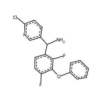 NC(c1ccc(Cl)nc1)c1ccc(F)c(Oc2ccccc2)c1F